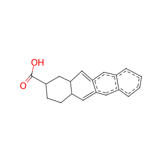 O=C(O)C1CCC2C=c3cc4ccccc4cc3=CC2C1